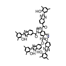 Cc1cc(C)c(O)c(-n2nc3ccc(O/C=N\c4cc(NC(=O)c5ccc6nn(-c7cc(C)cc(C)c7O)nc6c5)c(NC(=O)c5ccc6nn(-c7cc(C)cc(C)c7O)nc6c5)cc4NCOc4ccc5nn(-c6cc(C)cc(C)c6O)nc5c4)cc3n2)c1